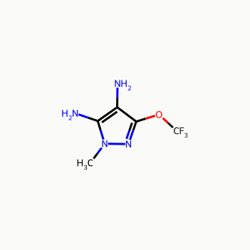 Cn1nc(OC(F)(F)F)c(N)c1N